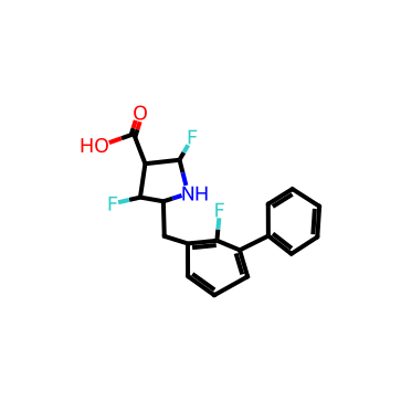 O=C(O)C1C(F)NC(Cc2cccc(-c3ccccc3)c2F)C1F